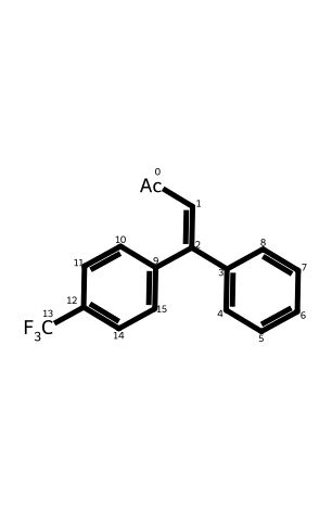 CC(=O)/C=C(/c1ccccc1)c1ccc(C(F)(F)F)cc1